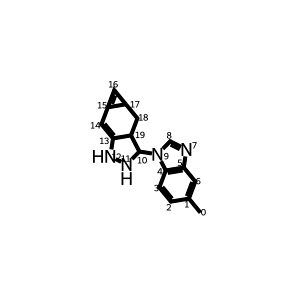 Cc1ccc2c(c1)ncn2C1NNC2=CC3=CC3CC21